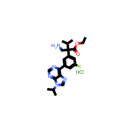 CCOC(=O)C(CN)(c1cc(F)cc(-c2ncnc3c2ncn3C(C)C)c1)C(C)C.Cl